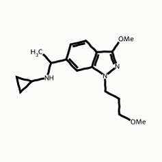 COCCCn1nc(OC)c2ccc(C(C)NC3CC3)cc21